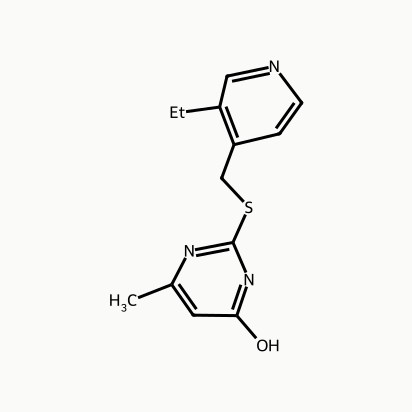 CCc1cnccc1CSc1nc(C)cc(O)n1